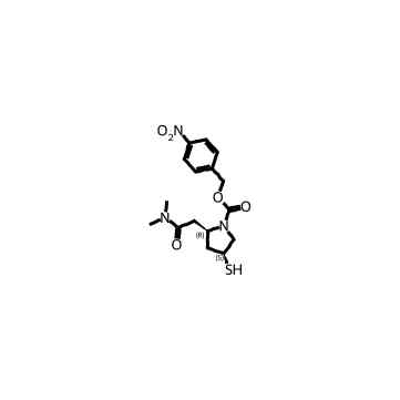 CN(C)C(=O)C[C@@H]1C[C@H](S)CN1C(=O)OCc1ccc([N+](=O)[O-])cc1